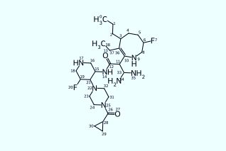 CCCC1CCC(F)CN/C(C(C(=O)NC2CNCC(F)C2N2CCN(C(=O)C3CC3)CC2)C(N)N)=C\1CC